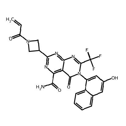 C=CC(=O)N1CC(c2nc(C(N)=O)c3c(=O)n(-c4cc(O)cc5ccccc45)c(C(F)(F)F)nc3n2)C1